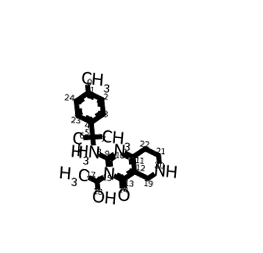 Cc1ccc(C(C)(C)Nc2nc3c(c(=O)n2C(C)O)CNCC3)cc1